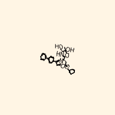 CC(C)(O)[C@H](CO)NC(=O)[C@@H](CC(=O)OCc1ccccc1)n1ccc(-c2ccc(-c3ccccc3)cc2)c1